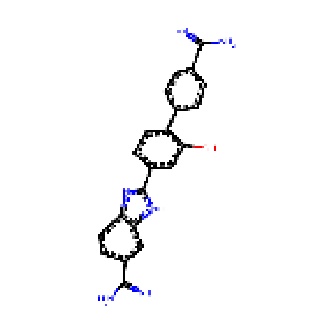 N=C(N)c1ccc(-c2ccc(-c3nc4ccc(C(=N)N)cc4[nH]3)cc2O)cc1